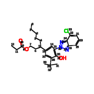 CCCCCC(CCOC(=O)CC)c1cc(-n2nc3cccc(Cl)c3n2)c(O)c(C(C)(C)C)c1